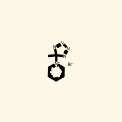 CC1([n+]2ccccc2)N=NN=N1.[Br-]